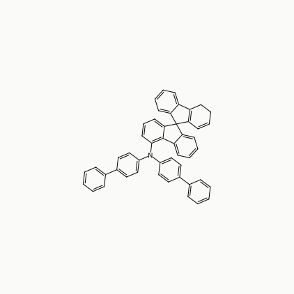 C1=CC2=C(CC1)c1ccccc1C21c2ccccc2-c2c(N(c3ccc(-c4ccccc4)cc3)c3ccc(-c4ccccc4)cc3)cccc21